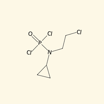 O=P(Cl)(Cl)N(CCCl)C1CC1